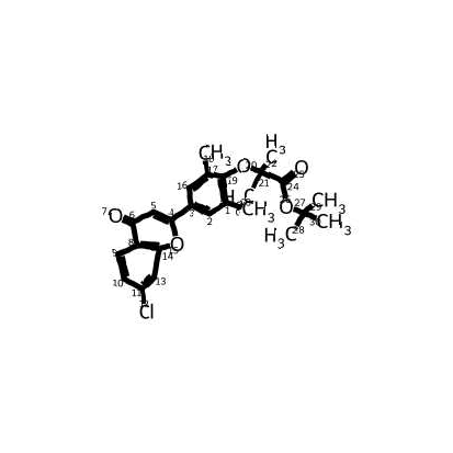 Cc1cc(-c2cc(=O)c3ccc(Cl)cc3o2)cc(C)c1OC(C)(C)C(=O)OC(C)(C)C